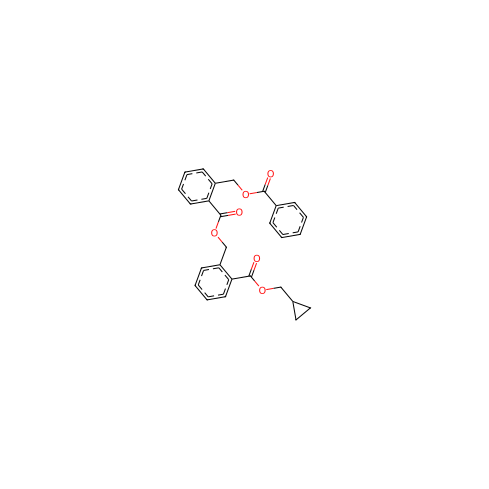 O=C(OCc1ccccc1C(=O)OCc1ccccc1C(=O)OCC1CC1)c1ccccc1